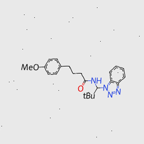 COc1ccc(CCCC(=O)NC(n2nnc3ccccc32)C(C)(C)C)cc1